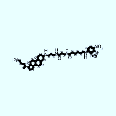 CC(C)CCCC(C)[C@H]1CCC2C3CC=C4CC(NCCCNC(=O)CCNC(=O)CCCCCNc5ccc([N+](=O)[O-])c6nonc56)CC[C@]4(C)C3CC[C@@]21C